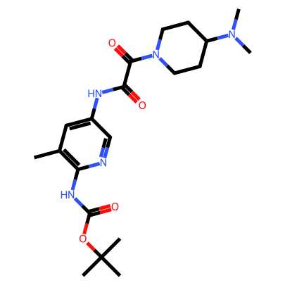 Cc1cc(NC(=O)C(=O)N2CCC(N(C)C)CC2)cnc1NC(=O)OC(C)(C)C